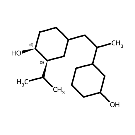 CC(CC1CC[C@H](O)[C@H](C(C)C)C1)C1CCCC(O)C1